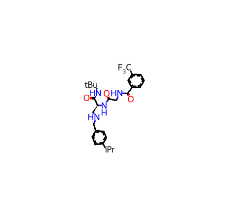 CC(C)c1ccc(CNC[C@H](NC(=O)CNC(=O)c2cccc(C(F)(F)F)c2)C(=O)NC(C)(C)C)cc1